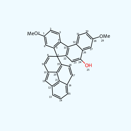 COc1ccc2c(c1)C1(C=CC3=Cc4cccc5ccc1c3c45)c1cc(O)c3cc(OC)ccc3c1-2